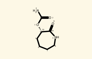 NC(=O)O[C@H]1CCCCNC1=O